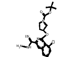 CC(C)(C)OC(=O)N1CCC(Oc2nc(C(=N)NN)cc3cccc(Cl)c23)C1